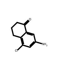 Nc1cc(Cl)c2c(c1)C(=O)CCC2